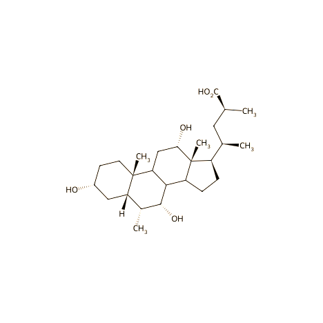 C[C@H]1[C@@H](O)C2C3CC[C@H]([C@H](C)C[C@H](C)C(=O)O)[C@@]3(C)[C@@H](O)CC2[C@@]2(C)CC[C@@H](O)C[C@@H]12